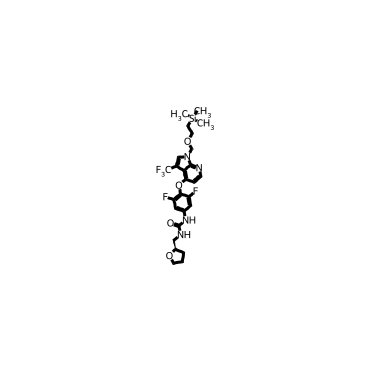 C[Si](C)(C)CCOCn1cc(C(F)(F)F)c2c(Oc3c(F)cc(NC(=O)NC[C@H]4CCCO4)cc3F)ccnc21